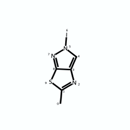 Cc1nc2cn(I)nc2s1